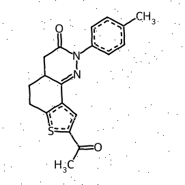 CC(=O)c1cc2c(s1)CCC1CC(=O)N(c3ccc(C)cc3)N=C21